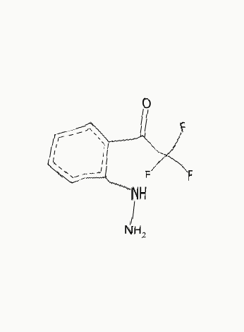 NNc1ccccc1C(=O)C(F)(F)F